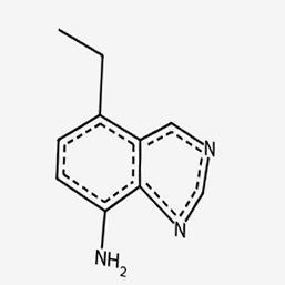 CCc1ccc(N)c2ncncc12